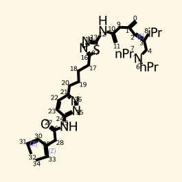 C=C(/C=C(/CN(CCC)CCC)C(C)C)CC(=C)Nc1nnc(CCCCc2ccc(NC(=O)CC(/C=C\C)=C/C)nn2)s1